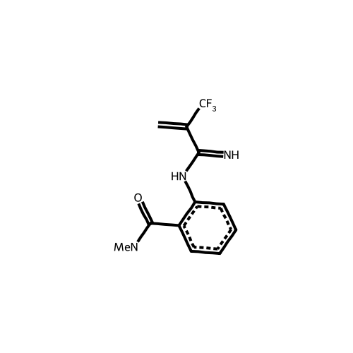 C=C(C(=N)Nc1ccccc1C(=O)NC)C(F)(F)F